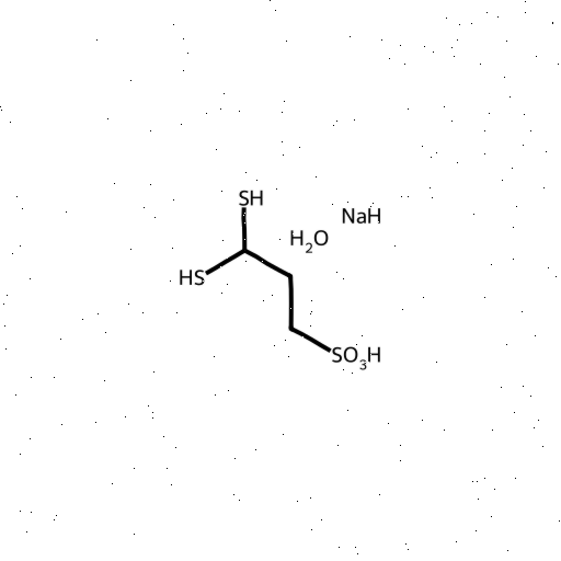 O.O=S(=O)(O)CCC(S)S.[NaH]